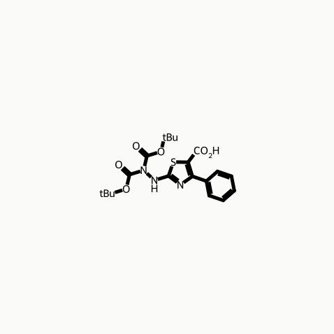 CC(C)(C)OC(=O)N(Nc1nc(-c2ccccc2)c(C(=O)O)s1)C(=O)OC(C)(C)C